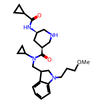 COCCCN1CC(CN(C(=O)[C@@H]2CNC[C@H](NC(=O)C3CC3)C2)C2CC2)c2ccccc21